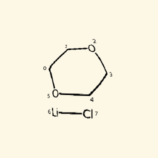 C1COCCO1.[Li][Cl]